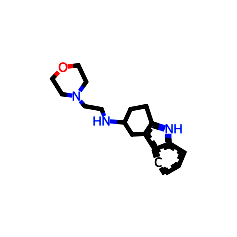 c1ccc2c3c([nH]c2c1)CCC(NCCN1CCOCC1)C3